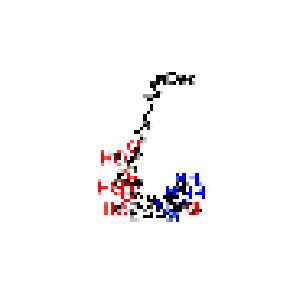 CCCCCCCCCCCCCCCCCCOC[C@@H](O)COP(=O)(O)OC[C@@H](CO)CCn1cnc2c(=O)[nH]c(N)nc21